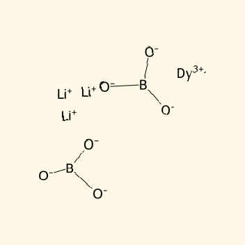 [Dy+3].[Li+].[Li+].[Li+].[O-]B([O-])[O-].[O-]B([O-])[O-]